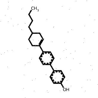 CCCCC1CC=C(c2ccc(-c3ccc(O)cc3)cc2)CC1